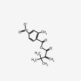 C=C(C(=O)OC(=O)c1ccc([N+](=O)[O-])cc1C)C(C)(C)C